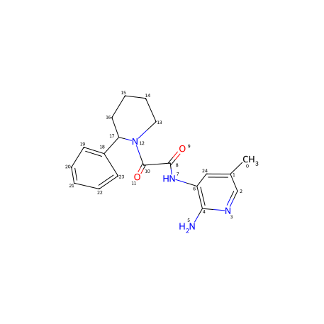 Cc1cnc(N)c(NC(=O)C(=O)N2CCCCC2c2ccccc2)c1